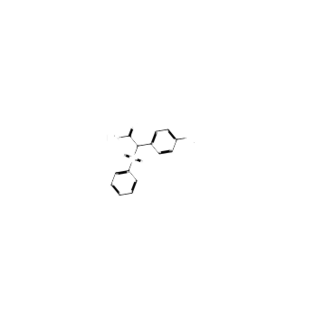 COc1ccc(C(C(N)=O)S(=O)(=O)c2ccccc2)cc1